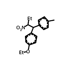 CCOc1ccc(C(c2ccc(C)cc2)C(CC)[N+](=O)[O-])cc1